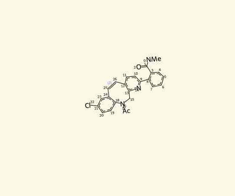 CNC(=O)c1ccccc1-c1ccc2c(n1)CN(C(C)=O)c1ccc(Cl)cc1/C=C\2